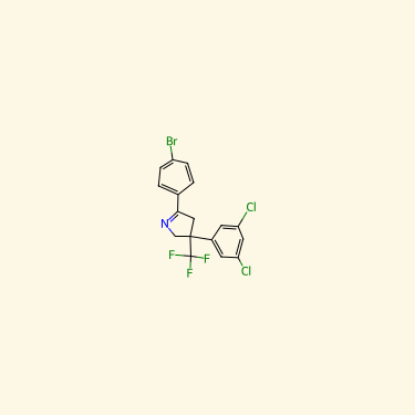 FC(F)(F)C1(c2cc(Cl)cc(Cl)c2)CN=C(c2ccc(Br)cc2)C1